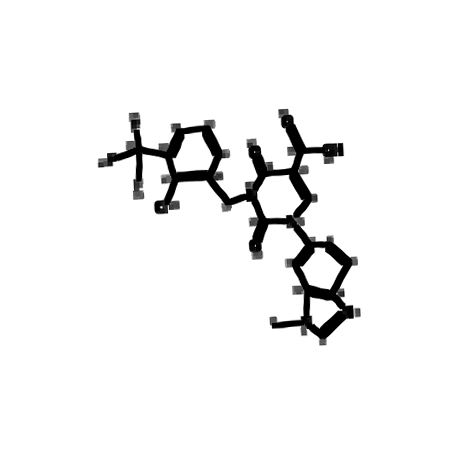 Cn1cnc2ccc(-n3cc(C(=O)O)c(=O)n(Cc4cccc(C(F)(F)F)c4Cl)c3=O)cc21